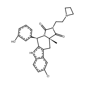 C[C@@]12Cc3c([nH]c4ccc(Cl)cc34)[C@@H](c3cccc(O)c3)N1C(=O)N(CCN1CCC1)C2=O